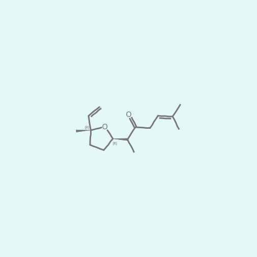 C=C[C@@]1(C)CC[C@H](C(C)C(=O)CC=C(C)C)O1